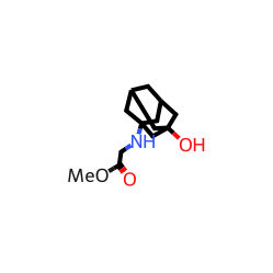 COC(=O)CNC12CC3CC(CC(O)(C3)C1)C2